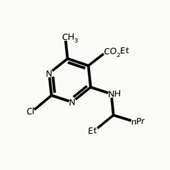 CCCC(CC)Nc1nc(Cl)nc(C)c1C(=O)OCC